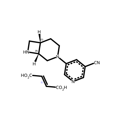 N#Cc1cncc(N2CC[C@H]3CN[C@H]3C2)c1.O=C(O)/C=C/C(=O)O